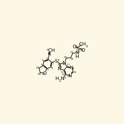 C#Cc1cc2c(cc1Sc1nc3c(N)ncnc3n1CCCNS(C)(=O)=O)OCC2